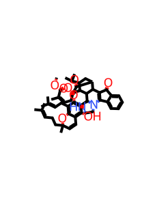 COC(=O)/C(C)=C\CC12OC(C)(C)C3CC(C1=O)C1C4=C(c5ccccc5C4=O)N4CCNC45c4c(O)c6c(c(CC=C(C)C)c4OC32C15)OC(C)(CCC=C(C)C)C=C6